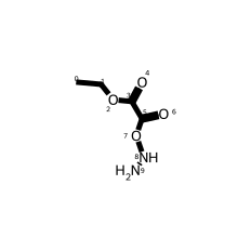 CCOC(=O)C(=O)ONN